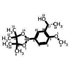 COc1ccc(B2OC(C)(C)C(C)(C)O2)cc1[C@@H](C)O